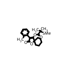 CSC(C)(C)C(=O)OC1=C(c2ccccc2C)C(=O)OC12CCCCC2